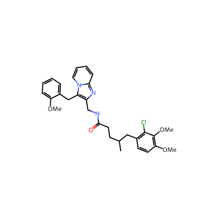 COc1ccccc1Cc1c(C[N]C(=O)CCC(C)Cc2ccc(OC)c(OC)c2Cl)nc2ccccn12